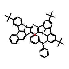 CC(C)(C)c1ccc2c(c1)c1c3ccccc3cc3c4nc5c(nc4n2c31)c1cc(C(C)(C)C)cc2c3cc(C(C)(C)C)cc(N(c4ccccc4)c4ccccc4)c3n5c21